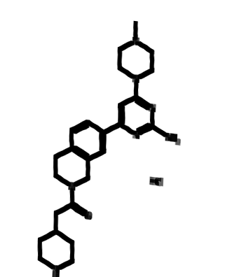 CN1CCN(c2cc(-c3ccc4c(c3)CN(C(=O)CC3CCNCC3)CC4)nc(N)n2)CC1.Cl